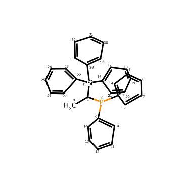 CC(P(c1ccccc1)c1ccccc1)[Si](c1ccccc1)(c1ccccc1)c1ccccc1